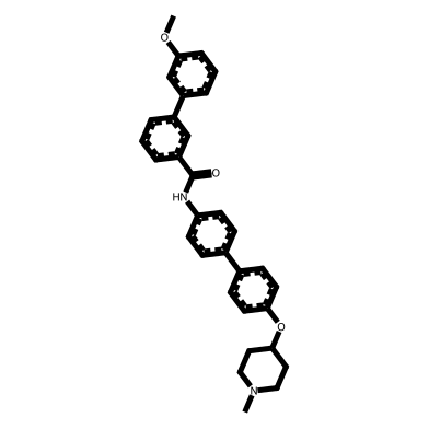 COc1cccc(-c2cccc(C(=O)Nc3ccc(-c4ccc(OC5CCN(C)CC5)cc4)cc3)c2)c1